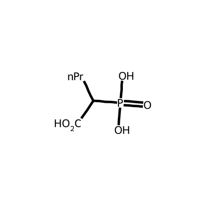 CCCC(C(=O)O)P(=O)(O)O